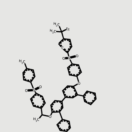 CCC(C)(C)c1ccc(S(=O)(=O)c2ccc(Oc3ccc(-c4ccc(OC(C)c5ccc(S(=O)(=O)c6ccc(C)cc6)cc5)c(-c5ccccc5)c4)cc3-c3ccccc3)cc2)cc1